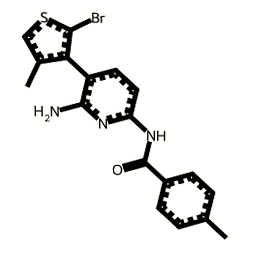 Cc1ccc(C(=O)Nc2ccc(-c3c(C)csc3Br)c(N)n2)cc1